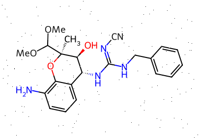 COC(OC)[C@]1(C)Oc2c(N)cccc2[C@@H](NC(=NC#N)NCc2ccccc2)[C@@H]1O